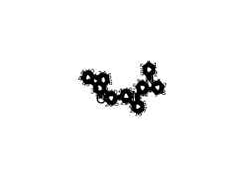 c1ccc(-n2c3ccccc3c3cc(-n4c5ccccc5c5cc(-c6ccc7oc8cc9c%10c(cccc%10c8c7c6)-c6ccccc6-9)ccc54)ccc32)cc1